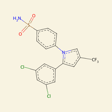 NS(=O)(=O)c1ccc(-n2cc(C(F)(F)F)cc2-c2cc(Cl)cc(Cl)c2)cc1